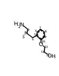 C[C@H](CN)Cc1ccccc1OCCO